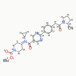 CC(C)(C)OC(=O)N1CCC(N(C(=O)c2cnc(-c3ccc(CC(=O)N4CCCC4C#N)cc3)nc2)C2CC2)CC1